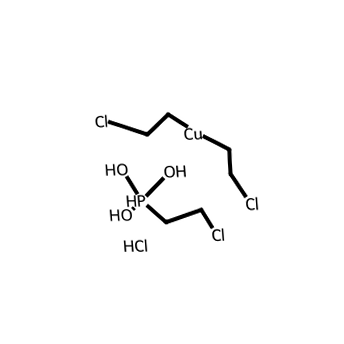 Cl.ClC[CH2][Cu][CH2]CCl.O[PH](O)(O)CCCl